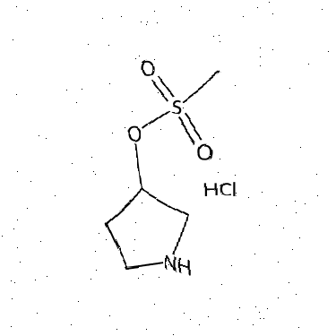 CS(=O)(=O)OC1CCNC1.Cl